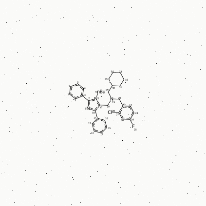 CCCCn1c(-c2ccccc2)nc(-c2ccccc2)c1CN(Cc1ccc(F)cc1Cl)CC1CCCCC1